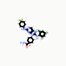 C[C@]1(C(N)=O)CC[C@@H](n2c(Nc3c(F)cc(F)cc3Cl)nc3cnc(NC4CCC(F)(F)CC4)nc32)CC1